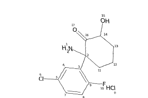 Cl.NC1(c2cc(Cl)ccc2F)CCCC(O)C1=O